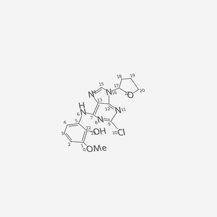 COc1cccc(Nc2nc(Cl)nc3c2ncn3C2CCCO2)c1O